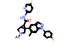 CC(=O)N1CC2C(C(=O)Nc3ccc(F)cn3)C2(c2cc3cnn(-c4ccc(F)cc4)c3cc2C)C1